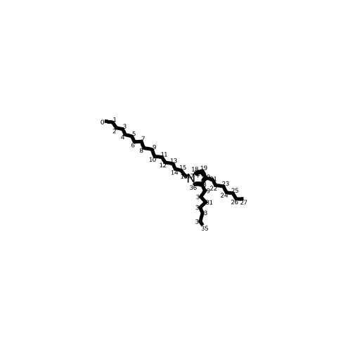 CCCCCCCCCCCCCCCCC[n+]1ccc(CCCCCCC)c(CCCCCCC)c1